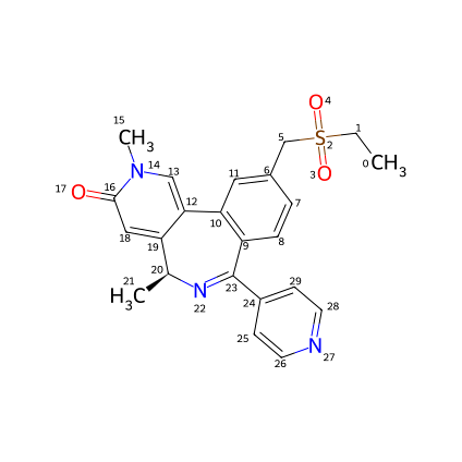 CCS(=O)(=O)Cc1ccc2c(c1)-c1cn(C)c(=O)cc1[C@H](C)N=C2c1ccncc1